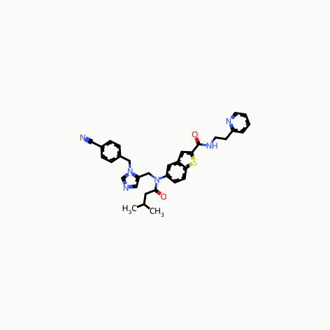 CC(C)CC(=O)N(Cc1cncn1Cc1ccc(C#N)cc1)c1ccc2sc(C(=O)NCCc3ccccn3)cc2c1